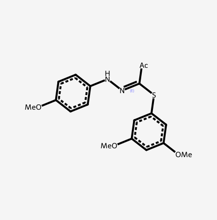 COc1ccc(N/N=C(/Sc2cc(OC)cc(OC)c2)C(C)=O)cc1